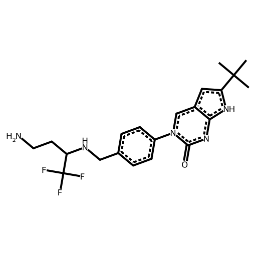 CC(C)(C)c1cc2cn(-c3ccc(CNC(CCN)C(F)(F)F)cc3)c(=O)nc2[nH]1